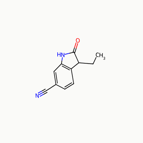 CCC1C(=O)Nc2cc(C#N)ccc21